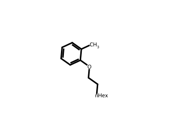 CCCCCCCCOc1ccccc1C